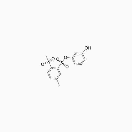 Cc1ccc(S(C)(=O)=O)c(S(=O)(=O)Oc2cccc(O)c2)c1